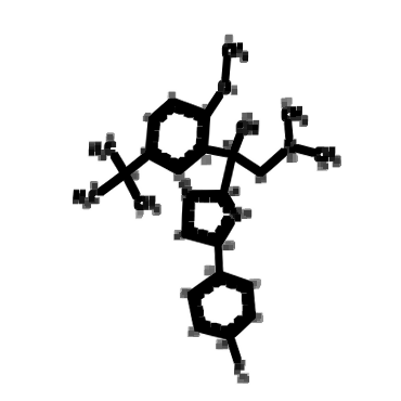 COc1ccc(C(C)(C)C)cc1C(O)(CN(C)C)c1nc(-c2ccc(F)cc2)cs1